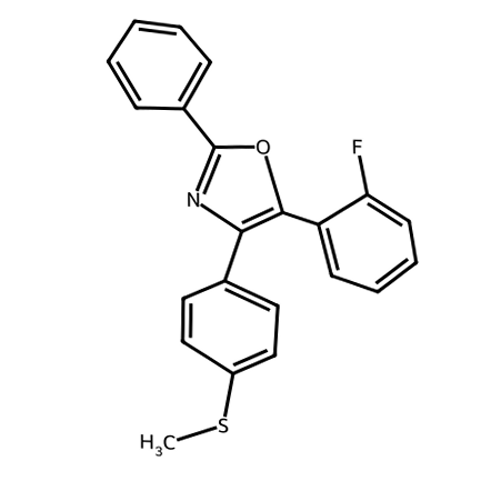 CSc1ccc(-c2nc(-c3ccccc3)oc2-c2ccccc2F)cc1